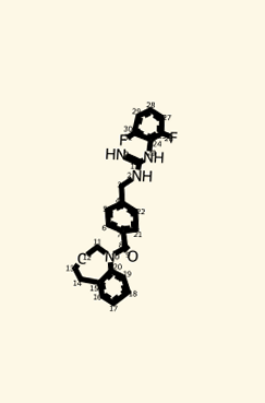 N=C(NCc1ccc(C(=O)N2CCCCc3ccccc32)cc1)Nc1c(F)cccc1F